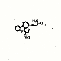 CN(C)CC#CC1=CCN=C(c2ccccc2F)c2cc(Cl)ccc21.Cl.Cl